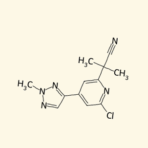 Cn1ncc(-c2cc(Cl)nc(C(C)(C)C#N)c2)n1